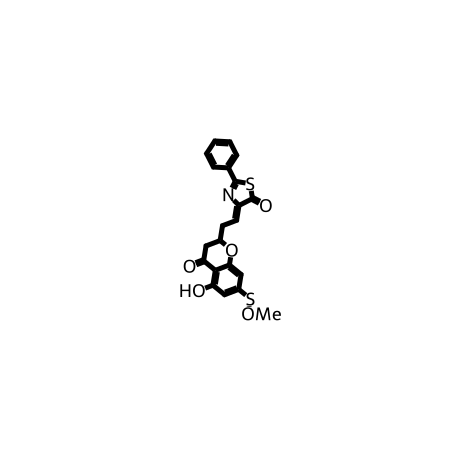 COSc1cc(O)c2c(c1)OC(CC=C1N=C(c3ccccc3)SC1=O)CC2=O